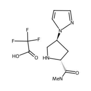 CNC(=O)[C@H]1C[C@H](n2cccn2)CN1.O=C(O)C(F)(F)F